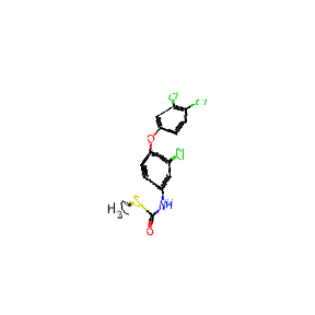 CSC(=O)Nc1ccc(Oc2ccc(Cl)c(Cl)c2)c(Cl)c1